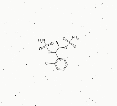 C[C@@H](OS(N)(=O)=O)[C@H](OS(N)(=O)=O)c1ccccc1Cl